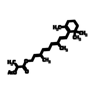 CC(=O)OC(C)C(=O)OC/C=C(C)/C=C/C=C(C)/C=C/C1=C(C)CCCC1(C)C